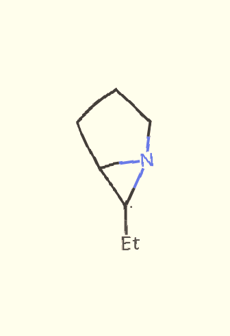 CC[C]1C2CCCN12